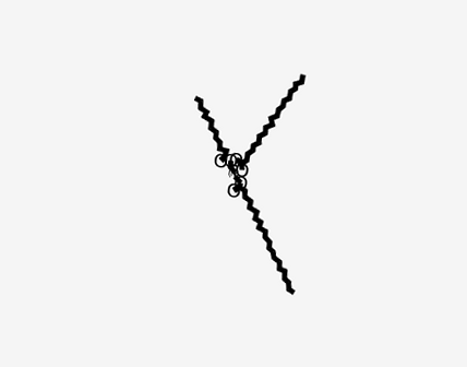 CCCCCCCCCCCCCCCCCCCCCC(=O)OC[C@@H](COC(=O)CCCCCCCCCCCC)OC(=O)CCCCCCCCCCCCCCCCCCCC